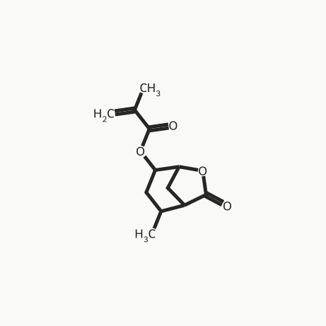 C=C(C)C(=O)OC1CC(C)C2CC1OC2=O